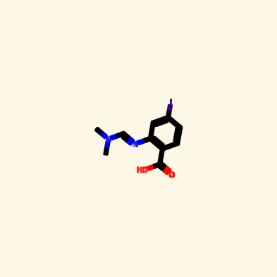 CN(C)C=Nc1cc(I)ccc1C(=O)O